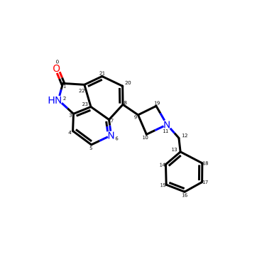 O=C1Nc2ccnc3c(C4CN(Cc5ccccc5)C4)ccc1c23